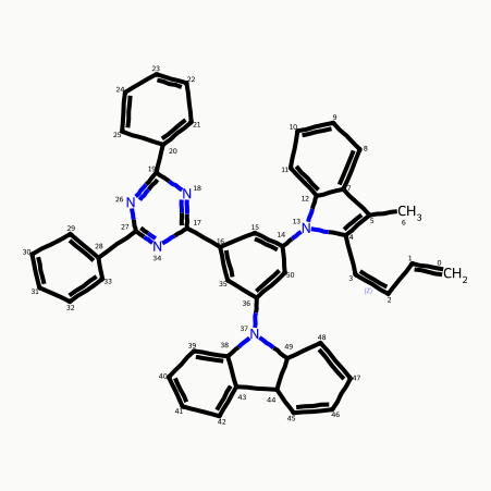 C=C/C=C\c1c(C)c2ccccc2n1-c1cc(-c2nc(-c3ccccc3)nc(-c3ccccc3)n2)cc(N2c3ccccc3C3C=CC=CC32)c1